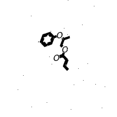 CC=CC(=O)OCC(C)Oc1cc[c]cc1